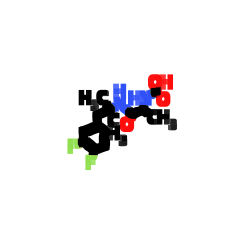 CC(NC(=O)O)C(=O)NC(C)(C)Cc1ccc(F)c(F)c1